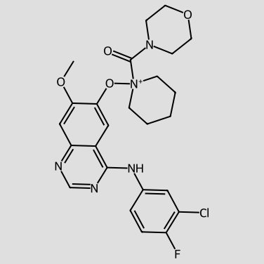 COc1cc2ncnc(Nc3ccc(F)c(Cl)c3)c2cc1O[N+]1(C(=O)N2CCOCC2)CCCCC1